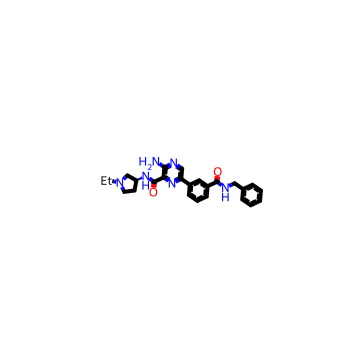 CCN1CC[C@H](NC(=O)c2nc(-c3cccc(C(=O)NCc4ccccc4)c3)cnc2N)C1